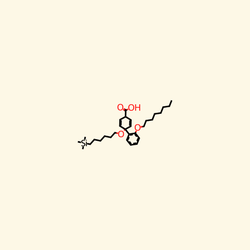 CCCCCCCCOc1ccccc1C1(OCCCCCC[Si](C)(C)C)C=CC(C(=O)O)C=C1